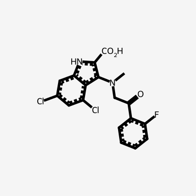 CN(CC(=O)c1ccccc1F)c1c(C(=O)O)[nH]c2cc(Cl)cc(Cl)c12